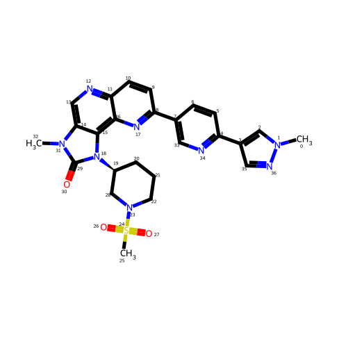 Cn1cc(-c2ccc(-c3ccc4ncc5c(c4n3)n([C@H]3CCCN(S(C)(=O)=O)C3)c(=O)n5C)cn2)cn1